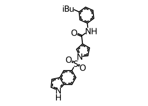 CCC(C)c1cccc(NC(=O)c2ccn(S(=O)(=O)c3ccc4[nH]ccc4c3)c2)c1